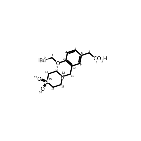 CC[C@H](C)COc1ccc(CC(=O)O)cc1CN1CCS(=O)(=O)CC1